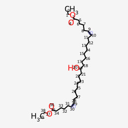 CCOC(=O)CCCC/C=C\CCCCCCCCC(O)CCCCCCCC/C=C\CCCCC(=O)OCC